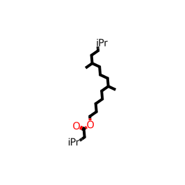 CC(C)CCC(C)CCCC(C)CCCCCOC(=O)CC(C)C